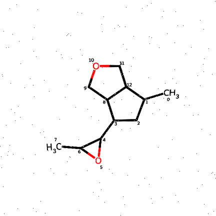 CC1CC(C2OC2C)C2COCC12